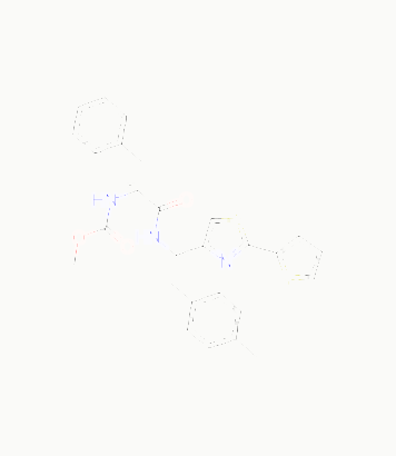 COC(=O)N[C@H](Cc1ccccc1)C(=O)N[C@@H](Cc1ccc(C)cc1)c1csc(-c2cccs2)n1